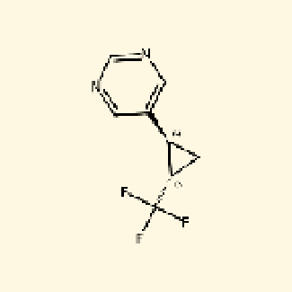 FC(F)(F)[C@H]1C[C@@H]1c1cncnc1